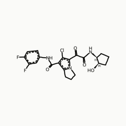 O=C(N[C@H]1CCC[C@H]1O)C(=O)c1c(Cl)c(C(=O)Nc2ccc(F)c(F)c2)c2n1CCC2